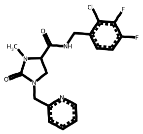 CN1C(=O)N(Cc2ccccn2)CC1C(=O)NCc1ccc(F)c(F)c1Cl